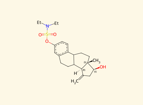 C=C1C[C@H](O)[C@@]2(C)CCC3c4ccc(OS(=O)(=O)N(CC)CC)cc4CCC3[C@H]12